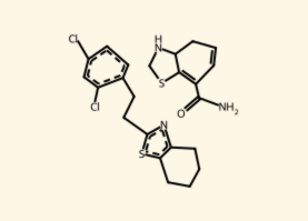 Clc1ccc(CCc2nc3c(s2)CCCC3)c(Cl)c1.NC(=O)C1=C2SCNC2CC=C1